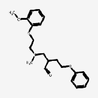 COc1ccccc1OCCN(C)CC([C]=O)CCOc1ccccc1